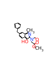 COC(=O)CN(C=O)c1nc(C)c2cc(Cc3ccccc3)ccc2c1O